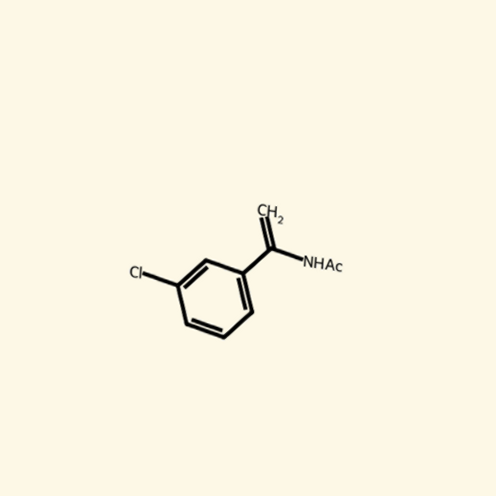 C=C(NC(C)=O)c1cccc(Cl)c1